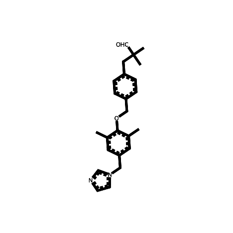 Cc1cc(Cn2ccnc2)cc(C)c1OCc1ccc(CC(C)(C)C=O)cc1